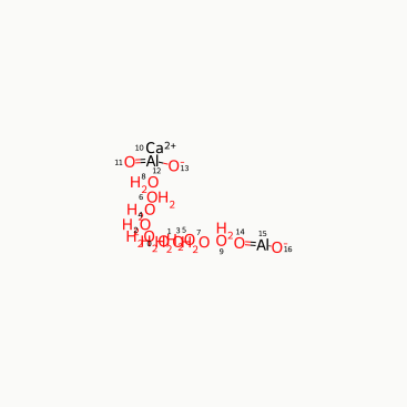 O.O.O.O.O.O.O.O.O.O.[Ca+2].[O]=[Al][O-].[O]=[Al][O-]